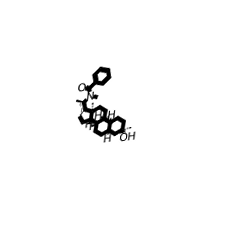 C[C@H]([C@H]1CC[C@H]2[C@@H]3CC[C@@H]4C[C@](C)(O)CC[C@@H]4[C@H]3CC[C@]12C)N(C)C(=O)c1ccccc1